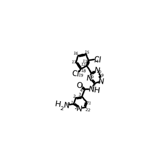 Nc1cc(C(=O)Nc2ncnc(-c3c(Cl)cccc3Cl)n2)ccn1